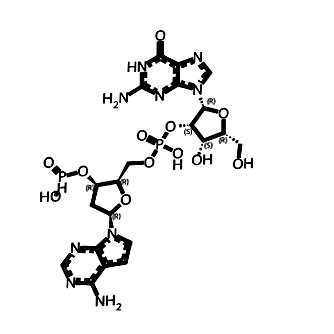 Nc1nc2c(ncn2[C@@H]2O[C@H](CO)[C@H](O)[C@@H]2OP(=O)(O)OC[C@H]2O[C@@H](n3ccc4c(N)ncnc43)C[C@H]2O[PH](=O)O)c(=O)[nH]1